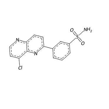 NS(=O)(=O)c1cccc(-c2ccc3nccc(Cl)c3n2)c1